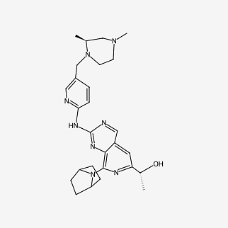 C[C@@H](O)c1cc2cnc(Nc3ccc(CN4CCN(C)C[C@@H]4C)cn3)nc2c(N2C3CCC2CC3)n1